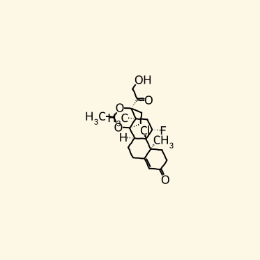 CC1O[C@@]2(C(=O)CO)CC[C@@]3(O1)[C@@H]1CCC4=CC(=O)CC[C@]4(C)[C@@]1(Cl)[C@@H](F)C[C@]23C